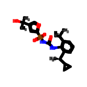 CC(C)c1cccc([C@@H](C)C2CC2)c1NC(=O)NS(=O)(=O)c1cc(C(C)(C)O)co1